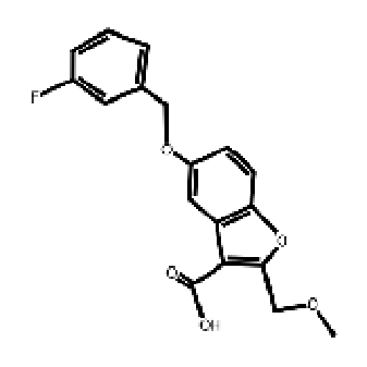 COCc1oc2ccc(OCc3cccc(F)c3)cc2c1C(=O)O